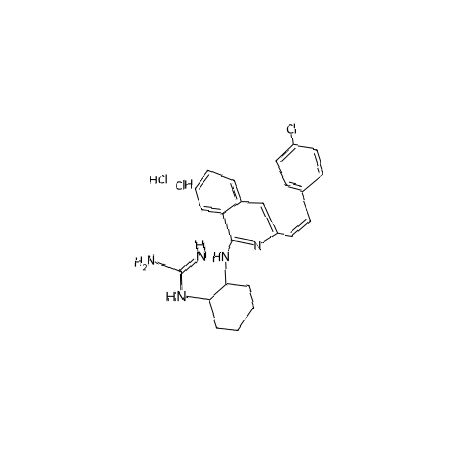 Cl.Cl.N=C(N)NC1CCCCC1Nc1nc(/C=C\c2ccc(Cl)cc2)cc2ccccc12